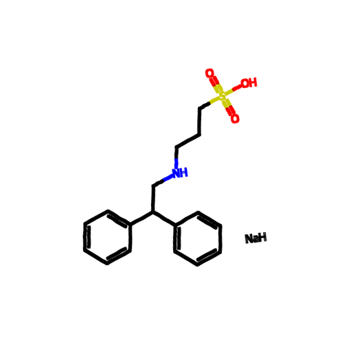 O=S(=O)(O)CCCNCC(c1ccccc1)c1ccccc1.[NaH]